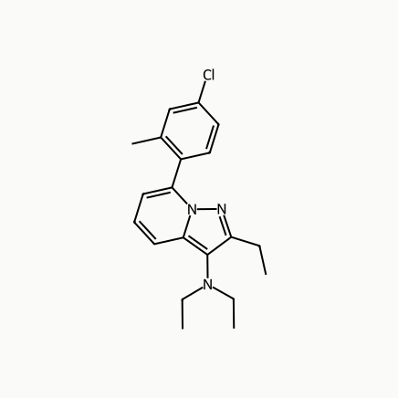 CCc1nn2c(-c3ccc(Cl)cc3C)cccc2c1N(CC)CC